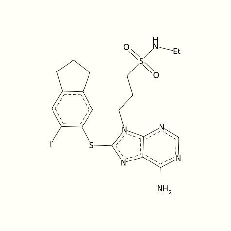 CCNS(=O)(=O)CCCn1c(Sc2cc3c(cc2I)CCC3)nc2c(N)ncnc21